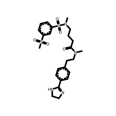 CN(CCc1ccc(C2=NCCN2)cc1)C(=O)CCCN(C)S(=O)(=O)c1cccc(S(C)(=O)=O)c1